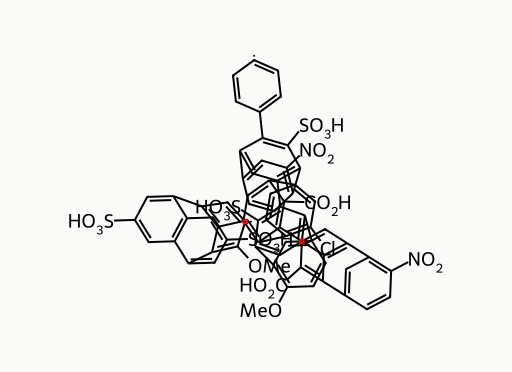 COc1[c]cc2c(-c3cc4c(C(=O)O)c(-c5cc6c(-c7cc8c(S(=O)(=O)O)c(-c9cc%10c(-c%11cc[c]cc%11)c(S(=O)(=O)O)c9-c9ccc-%10cc9[N+](=O)[O-])c7-c7ccc(OC)c-8c7)c(c5C(=O)O)c5ccc([N+](=O)[O-])c6c5)c3-c3ccc-4cc3Cl)c1-c1cc(S(=O)(=O)O)cc3c-2cc(S(=O)(=O)O)cc13